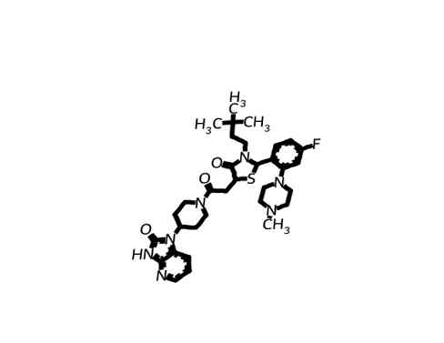 CN1CCN(c2cc(F)ccc2C2SC(CC(=O)N3CCC(n4c(=O)[nH]c5ncccc54)CC3)C(=O)N2CCC(C)(C)C)CC1